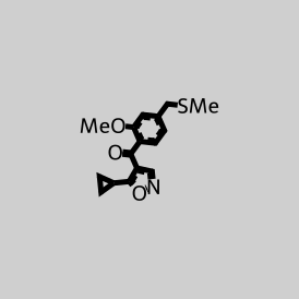 COc1cc(CSC)ccc1C(=O)c1cnoc1C1CC1